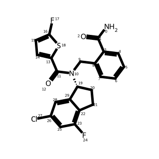 NC(=O)c1ccccc1CN(C(=O)c1ccc(F)s1)[C@@H]1CCc2c(F)cc(Cl)cc21